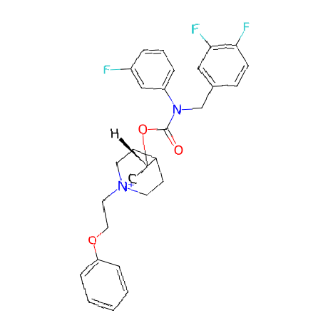 O=C(O[C@H]1C[N+]2(CCOc3ccccc3)CCC1CC2)N(Cc1ccc(F)c(F)c1)c1cccc(F)c1